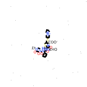 CCN1CCN(C(=O)N[C@@H](C(=O)N[C@]2(NC=O)C(=O)N3C(C(=O)[O-])=C(CSc4cc[n+](N5CCCC5)cc4)CS[C@@H]32)c2ccccc2)C(=O)C1=O